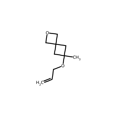 C=CCOC1(C)CC2(COC2)C1